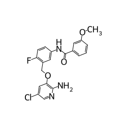 COc1cccc(C(=O)Nc2ccc(F)c(COc3cc(Cl)cnc3N)c2)c1